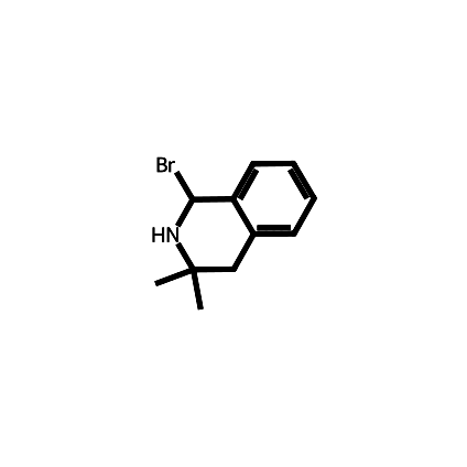 CC1(C)Cc2ccccc2C(Br)N1